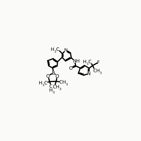 Cc1ncc(NC(=O)c2ccnc(C(C)(C)F)c2)cc1-c1cccc(B2OC(C)(C)C(C)(C)O2)c1